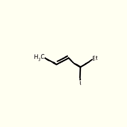 CC=CC(I)CC